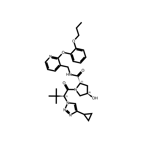 CCCOc1ccccc1Oc1ncccc1CNC(=O)[C@@H]1C[C@@H](O)CN1C(=O)[C@@H](n1cc(C2CC2)nn1)C(C)(C)C